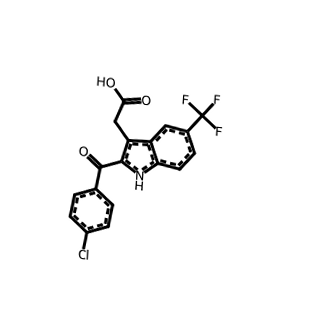 O=C(O)Cc1c(C(=O)c2ccc(Cl)cc2)[nH]c2ccc(C(F)(F)F)cc12